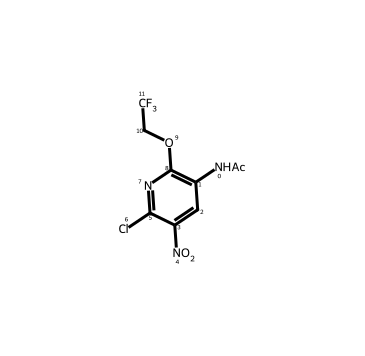 CC(=O)Nc1cc([N+](=O)[O-])c(Cl)nc1OCC(F)(F)F